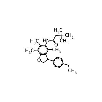 CCc1ccc(C2COc3c(C)c(C)c(NC(=O)CC(C)(C)C)c(C)c32)cc1